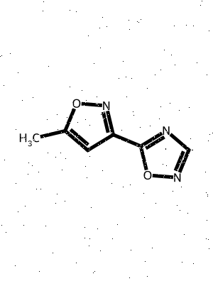 Cc1cc(-c2n[c]no2)no1